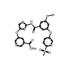 COC(=O)c1cncc(Oc2cnc(NC(=O)c3cc(Oc4ccc(S(C)(=O)=O)nc4)cc(OC(C)C)c3)s2)c1